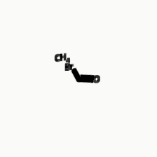 C.O=CBr